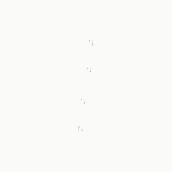 CN1CCCN(CCN2CCCN(C)CC2)CC1